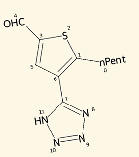 CCCCCc1sc(C=O)cc1-c1nnn[nH]1